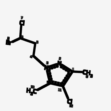 Cc1nn(CCC(Cl)Br)c(C)c1Cl